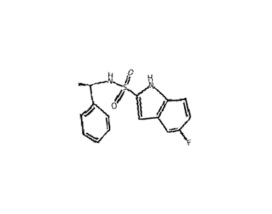 C[C@@H](NS(=O)(=O)c1cc2cc(F)ccc2[nH]1)c1ccccc1